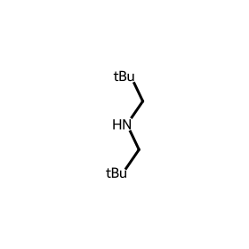 CC(C)(C)CNCC(C)(C)C